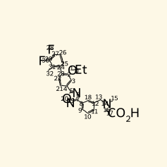 CCOc1cc(-c2nc(-c3cccc(CN(C)CC(=O)O)c3)no2)ccc1-c1ccc(F)c(F)c1C